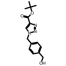 CC(C)(C)OC(=O)c1cn(Cc2ccc(CO)cc2)nn1